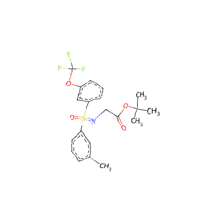 Cc1cccc(S(=O)(=NCC(=O)OC(C)(C)C)c2cccc(OC(F)(F)F)c2)c1